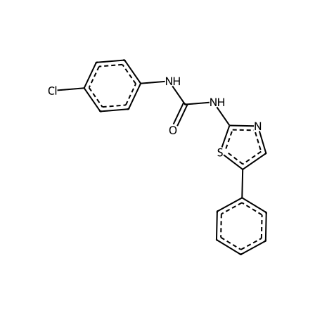 O=C(Nc1ccc(Cl)cc1)Nc1ncc(-c2ccccc2)s1